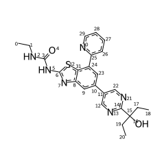 CCNC(=O)Nc1nc2cc(-c3cnc(C(O)(CC)CC)nc3)cc(-c3ccccn3)c2s1